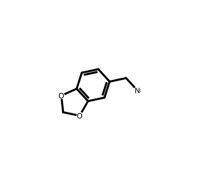 [N]Cc1ccc2c(c1)OCO2